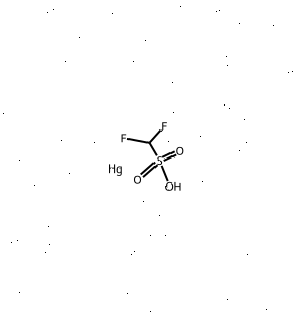 O=S(=O)(O)C(F)F.[Hg]